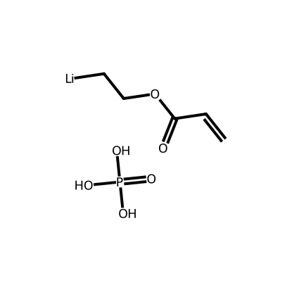 O=P(O)(O)O.[Li][CH2]COC(=O)C=C